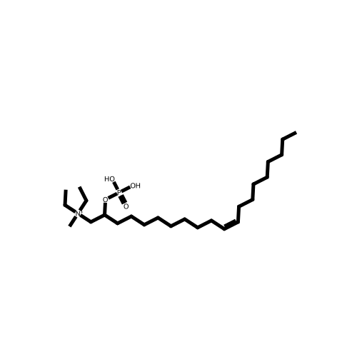 CCCCCCCC/C=C\CCCCCCCCC(C[N+](C)(CC)CC)OP(=O)(O)O